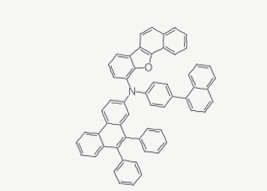 c1ccc(-c2c(-c3ccccc3)c3cc(N(c4ccc(-c5cccc6ccccc56)cc4)c4cccc5c4oc4c6ccccc6ccc54)ccc3c3ccccc23)cc1